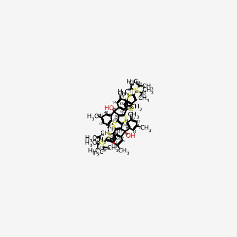 Cc1cc(C)cc(C(O)(c2cc(C)cc(C)c2)c2c(-c3ccc(S(C(C)C)(C(C)C)C(C)C)s3)sc3c(C(O)(c4cc(C)cc(C)c4)c4cc(C)cc(C)c4)c(-c4cc5sc(S(C(C)C)(C(C)C)C(C)C)cc5s4)sc23)c1